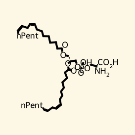 CCCCC/C=C\C/C=C\CCCCCCCC(=O)OC[C@H](COP(=O)(O)OC[C@H](N)C(=O)O)OC(=O)CCCCCCC/C=C\C/C=C\CCCCC